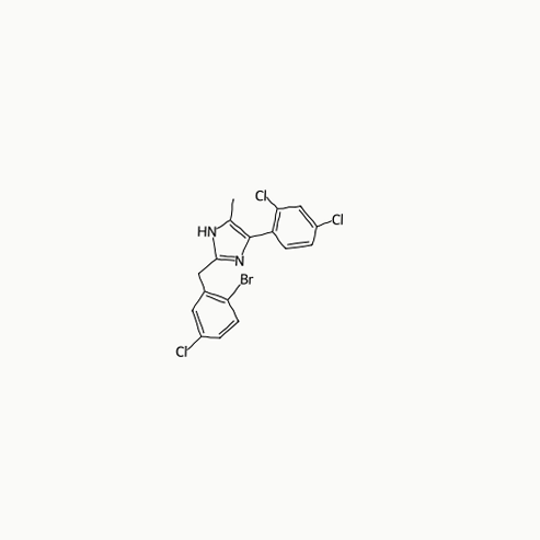 Cc1[nH]c(Cc2cc(Cl)ccc2Br)nc1-c1ccc(Cl)cc1Cl